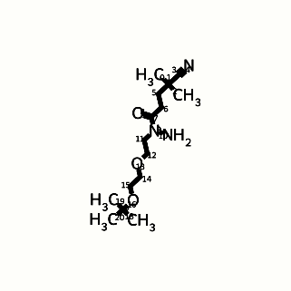 CC(C)(C#N)CCC(=O)N(N)CCOCCOC(C)(C)C